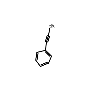 CC(C)(C)C#Cc1ccccc1